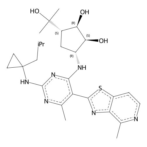 Cc1nc(NC2(CC(C)C)CC2)nc(N[C@@H]2C[C@H](C(C)(C)O)[C@@H](O)[C@H]2O)c1-c1nc2c(C)nccc2s1